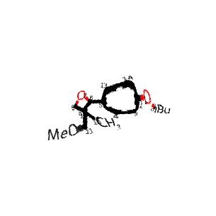 CCC(C)Oc1ccc(C2OCC2(C)COC)cc1